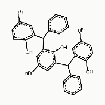 CCCc1ccc(O)c(C(c2ccccc2)c2cc(CCC)cc(C(c3ccccc3)c3cc(CCC)ccc3O)c2O)c1